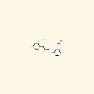 COc1cc(OC)c(/C=C/C(=O)Nc2ccc(OC)c(NC(=O)C(F)(F)C(F)(F)F)c2)c(OC)c1